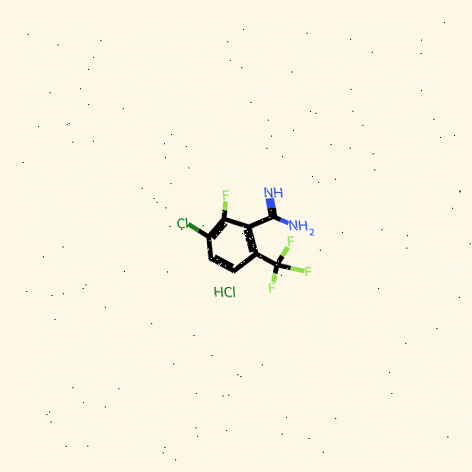 Cl.N=C(N)c1c(C(F)(F)F)ccc(Cl)c1F